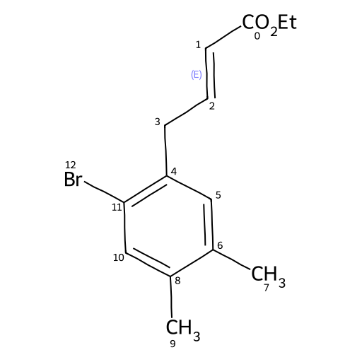 CCOC(=O)/C=C/Cc1cc(C)c(C)cc1Br